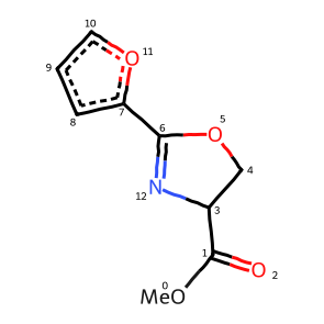 COC(=O)C1COC(c2ccco2)=N1